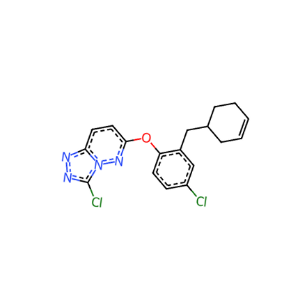 Clc1ccc(Oc2ccc3nnc(Cl)n3n2)c(CC2CC=CCC2)c1